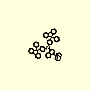 c1ccc(C2(c3ccc(N(c4ccc(C5(c6ccccc6)c6ccccc6-c6ccccc65)cc4)c4ccc(C56CC7CC(CC(C7)C5)C6)c5ccccc45)cc3)c3ccccc3-c3ccccc32)cc1